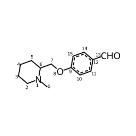 CN1CCCCC1COc1ccc(C=O)cc1